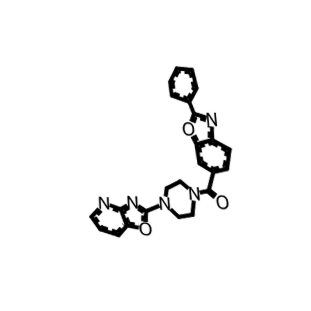 O=C(c1ccc2nc(-c3ccccc3)oc2c1)N1CCN(c2nc3ncccc3o2)CC1